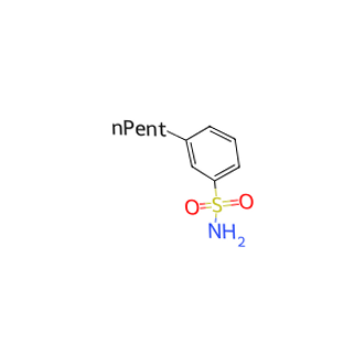 CCCCCc1cccc(S(N)(=O)=O)c1